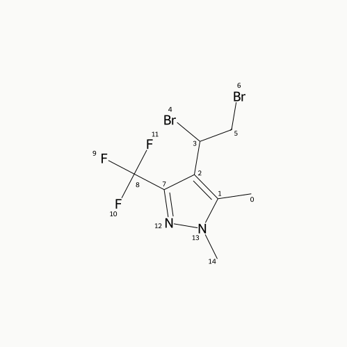 Cc1c(C(Br)CBr)c(C(F)(F)F)nn1C